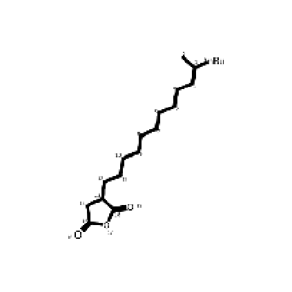 CCCCC(C)CCCCCCCCCCC1CC(=O)OC1=O